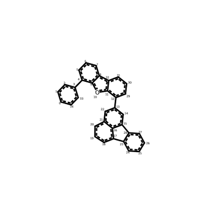 c1ccc(-c2cccc3c2oc2c(-c4cc5c6c(cccc6c4)-c4ccccc4-5)cccc23)cc1